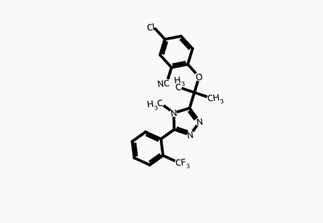 Cn1c(-c2ccccc2C(F)(F)F)nnc1C(C)(C)Oc1ccc(Cl)cc1C#N